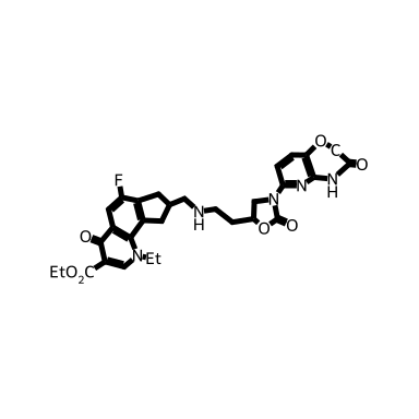 CCOC(=O)c1cn(CC)c2c3c(c(F)cc2c1=O)CC(CNCCC1CN(c2ccc4c(n2)NC(=O)CO4)C(=O)O1)C3